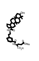 COC(=O)CCC(NC(=O)c1cccc(CCNC(=O)C23CCCC2C2CCC4C(C)(CCC5C(C)(C)C(O)CCC54C)C2CC3)c1)C(=O)O